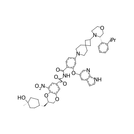 CC(C)c1ccccc1[C@H]1COCCN1C1CC2(CCN(c3ccc(C(=O)NS(=O)(=O)c4cc5c(c([N+](=O)[O-])c4)O[C@H](C[C@H]4CC[C@](C)(O)CC4)CO5)c(Oc4cnc5[nH]ccc5c4)c3)CC2)C1